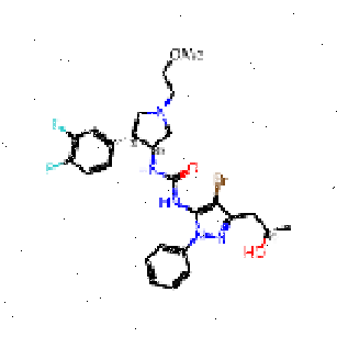 COCCN1C[C@@H](NC(=O)Nc2c(Br)c(C[C@@H](C)O)nn2-c2ccccc2)[C@H](c2ccc(F)c(F)c2)C1